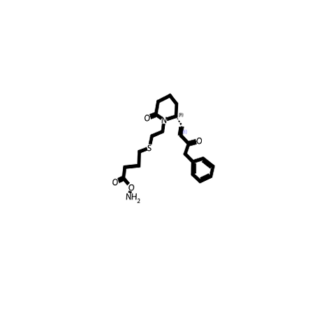 NOC(=O)CCCSCCN1C(=O)CCC[C@@H]1/C=C/C(=O)Cc1ccccc1